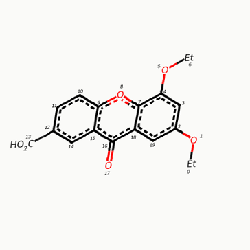 CCOc1cc(OCC)c2oc3ccc(C(=O)O)cc3c(=O)c2c1